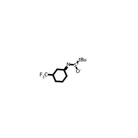 CC(C)(C)[S+]([O-])N=C1CCCC(C(F)(F)F)C1